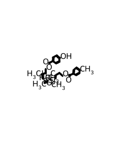 Cc1ccc(C(=O)OCCC(C)C[Si](C)(C)O[Si](C)(C)CC(C)CCOC(=O)c2ccc(O)cc2)cc1